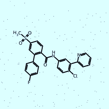 CS(=O)(=O)c1ccc(C(=O)Nc2ccc(Cl)c(-c3ccccn3)c2)c(-c2ccc(F)cc2)c1